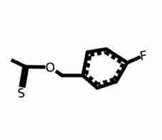 CC(=S)OCc1ccc(F)cc1